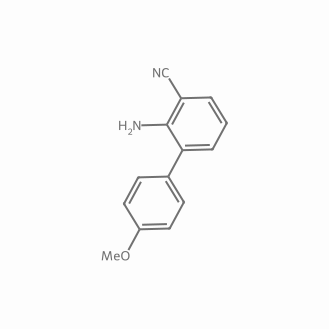 COc1ccc(-c2cccc(C#N)c2N)cc1